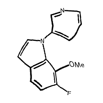 COc1c(F)ccc2ccn(-c3cccnc3)c12